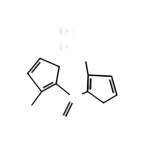 Cl.Cl.[CH2]=[Hf]([C]1=C(C)C=CC1)[C]1=C(C)C=CC1